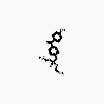 CCOP(=O)(Cc1ccc(C(=O)c2ccc(O)cc2)cc1)OCC